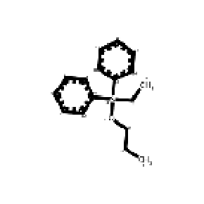 CCCO[Si](CC)(c1ccccc1)c1ccccc1